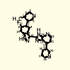 Cc1ccncc1-c1cc2c(-c3nc4c(-c5cccnc5)ccnc4[nH]3)n[nH]c2cc1F